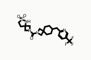 O=C(N1CC2(CCC(Cc3ccc(C(F)(F)F)cn3)CC2)C1)N1CC2(CCS(=O)(=O)N2)C1